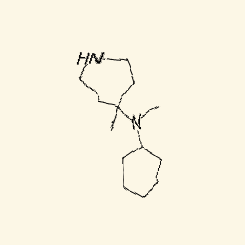 CN(C1CCCCC1)C1(C)CCNCC1